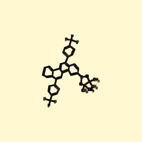 CC1(C)OB(c2ccc3c(-c4ccc(C(F)(F)F)cc4)cc4c5ccccc5c(-c5ccc(C(F)(F)F)cc5)cc4c3c2)OC1(C)C